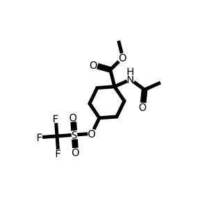 COC(=O)C1(NC(C)=O)CCC(OS(=O)(=O)C(F)(F)F)CC1